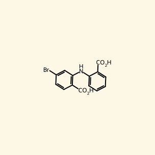 O=C(O)c1ccccc1Nc1cc(Br)ccc1C(=O)O